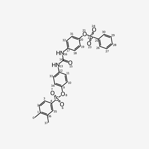 Cc1ccc(S(=O)(=O)Oc2ccc(NC(=O)Nc3ccc(OS(=O)(=O)c4ccccc4)cc3)cc2)cc1C